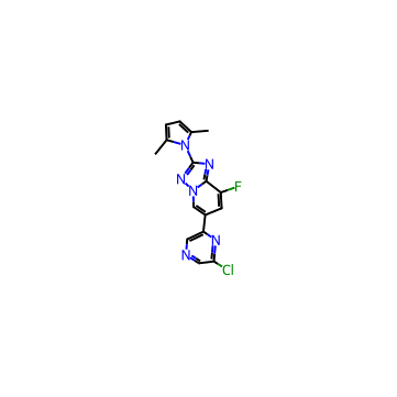 Cc1ccc(C)n1-c1nc2c(F)cc(-c3cncc(Cl)n3)cn2n1